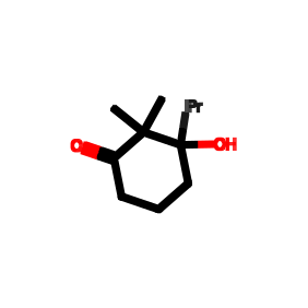 CC(C)C1(O)CCCC(=O)C1(C)C